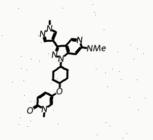 CNc1cc2c(cn1)c(-c1cnn(C)c1)nn2C1CCC(Oc2ccc(=O)n(C)c2)CC1